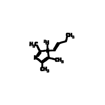 [2H]S1(C=CCC)C(C)=NC(C)=C1C